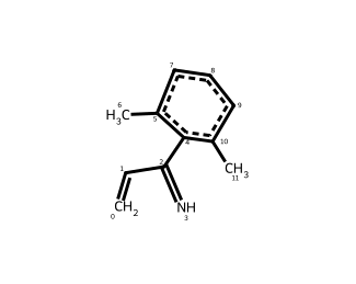 C=CC(=N)c1c(C)cccc1C